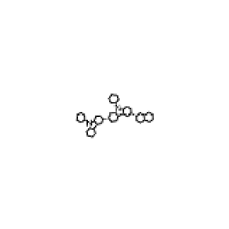 c1ccc(-n2c3ccccc3c3cc(-c4ccc5c6cc(-c7ccc8ccccc8c7)ccc6n(-c6ccccc6)c5c4)ccc32)cc1